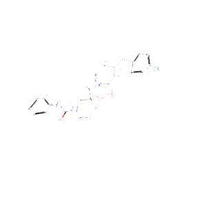 O=C(Nc1ccccc1)N1CCCC(O)(CN2CCC(Cc3ccc(F)cc3)CC2)C1